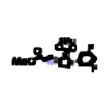 COC(=O)/C=C/[C@H]1CC[C@@H](c2cc(F)cc(F)c2)N1C(=O)OC(C)(C)C